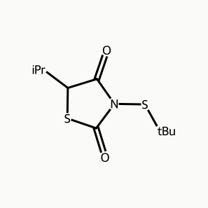 CC(C)C1SC(=O)N(SC(C)(C)C)C1=O